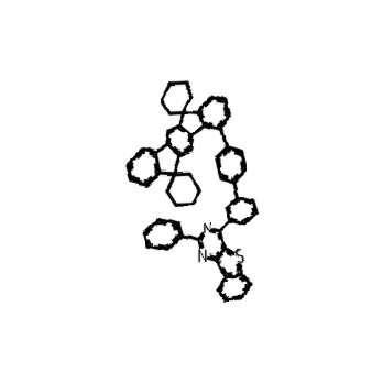 c1ccc(-c2nc(-c3cccc(-c4ccc(-c5cccc6c5-c5cc7c(cc5C65CCCCC5)-c5ccccc5C75CCCCC5)cc4)c3)c3sc4ccccc4c3n2)cc1